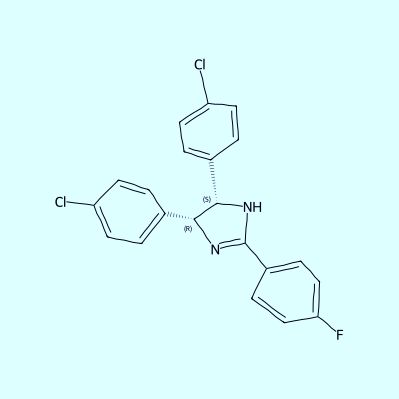 Fc1ccc(C2=N[C@H](c3ccc(Cl)cc3)[C@H](c3ccc(Cl)cc3)N2)cc1